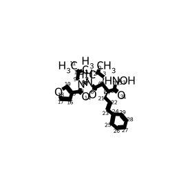 CC(C)C[C@@H](C(=O)NN(CC(C)C)C(=O)c1ccoc1)[C@H](CC=Cc1ccccc1)C(=O)NO